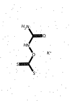 NC(=O)NOC(=S)[S-].[K+]